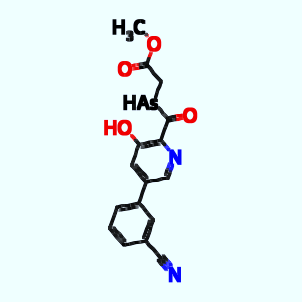 COC(=O)C[AsH]C(=O)c1ncc(-c2cccc(C#N)c2)cc1O